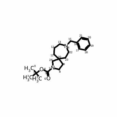 CC(C)(C)OC(=O)N1CCC2(CCCN(Cc3ccccc3)CC2)C1